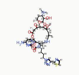 CC[C@H]1OC(=O)[C@H](C)C(=O)[C@@H](C)[C@@H](O[C@@H]2O[C@H](C)CC(N(C)C)C2O)[C@](C)(OC)C[C@@H](C)CN[C@H](C)[C@H]2N(CCCCn3cc(-c4nccs4)nn3)C(=O)O[C@]12n1ccc(N)nc1=O